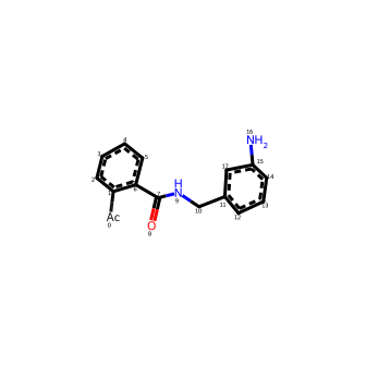 CC(=O)c1ccccc1C(=O)NCc1cccc(N)c1